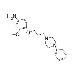 COc1cc(N)ccc1OCCCN1CCN(c2ccccc2)CC1